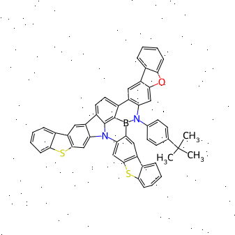 CC(C)(C)c1ccc(N2B3c4cc5c(cc4-n4c6cc7sc8ccccc8c7cc6c6ccc(c3c64)-c3cc4c(cc32)oc2ccccc24)sc2ccccc25)cc1